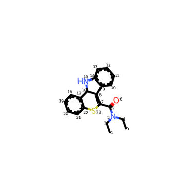 CCN(CC)C(=O)C1=C2c3ccccc3NC2c2ccccc2S1